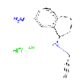 C#CCNC1CCc2ccc(N)cc21.Cl.Cl